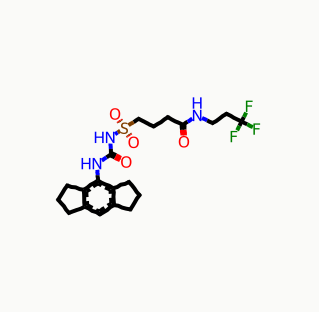 O=C(CCCS(=O)(=O)NC(=O)Nc1c2c(cc3c1CCC3)CCC2)NCCC(F)(F)F